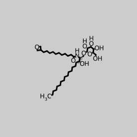 CCCCCCCCCCCCCCC[C@@H](O)[C@H](COC1OC(CO)C(O)C(O)C1O)NC(=O)CCCCCCCCCCC1COC1